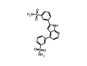 NS(=O)(=O)c1cccc(-c2cc3c(-c4cccc(S(N)(=O)=O)c4)ccnc3[nH]2)c1